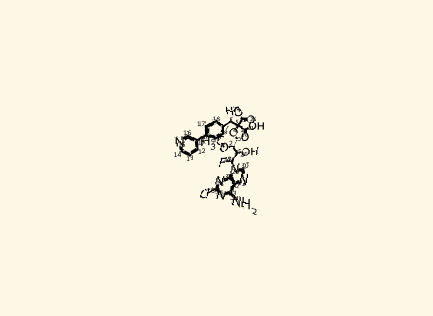 CO[C@H](COC(Cc1ccc(-c2cccnc2)cc1)(C(=O)O)C(=O)O)[C@@H](O)[C@H](F)n1cnc2c(N)nc(Cl)nc21